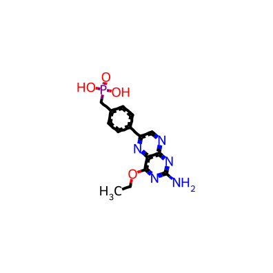 CCOc1nc(N)nc2ncc(-c3ccc(CP(=O)(O)O)cc3)nc12